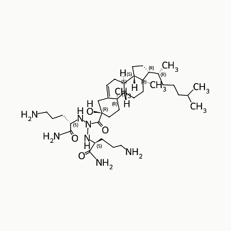 CC(C)CCC[C@@H](C)[C@H]1CC[C@H]2[C@@H]3CC=C4C[C@@](O)(C(=O)N(N[C@@H](CCCN)C(N)=O)N[C@@H](CCCN)C(N)=O)CC[C@]4(C)[C@H]3CC[C@]12C